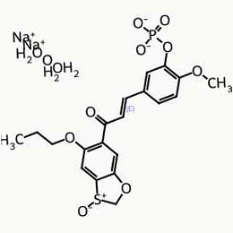 CCCOc1cc2c(cc1C(=O)/C=C/c1ccc(OC)c(OP(=O)([O-])[O-])c1)OC[S+]2[O-].O.O.O.[Na+].[Na+]